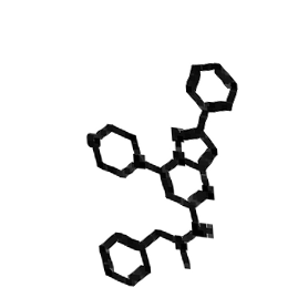 CN(Cc1ccccc1)Nc1cc(N2CCOCC2)n2nc(-c3ccccc3)cc2n1